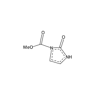 COC(=O)n1cc[nH]c1=O